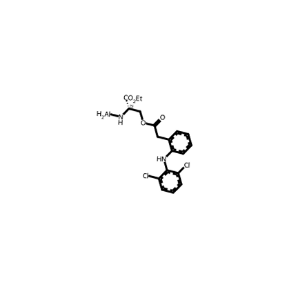 CCOC(=O)[C@H](COC(=O)Cc1ccccc1Nc1c(Cl)cccc1Cl)[NH][AlH2]